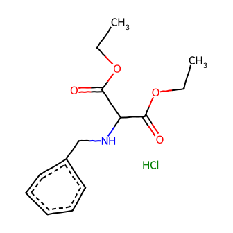 CCOC(=O)C(NCc1ccccc1)C(=O)OCC.Cl